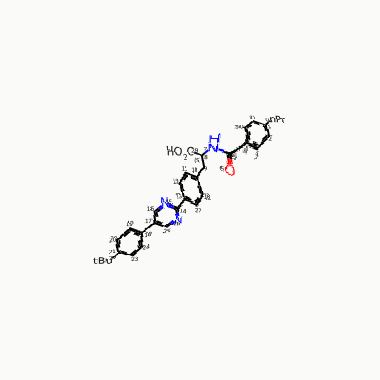 CCCc1ccc(C(=O)N[C@@H](Cc2ccc(-c3ncc(-c4ccc(C(C)(C)C)cc4)cn3)cc2)C(=O)O)cc1